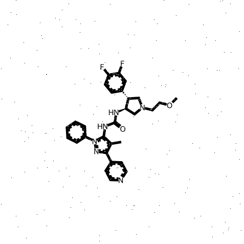 COCCN1C[C@@H](NC(=O)Nc2c(C)c(-c3ccncc3)nn2-c2ccccc2)[C@H](c2ccc(F)c(F)c2)C1